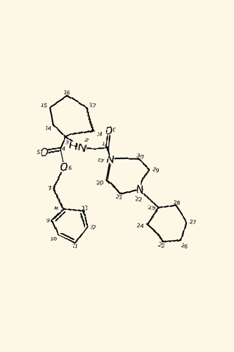 O=C(NC1(C(=O)OCc2ccccc2)CCCCC1)N1CCN(C2CCCCC2)CC1